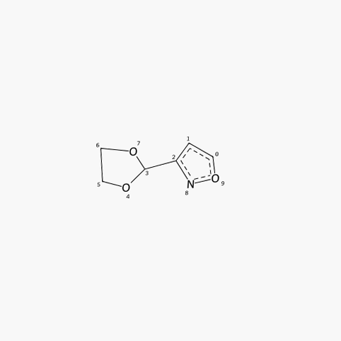 c1cc(C2OCCO2)no1